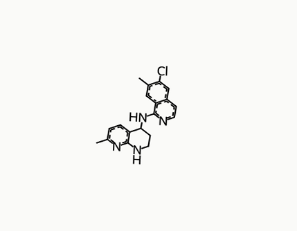 Cc1ccc2c(n1)NCCC2Nc1nccc2cc(Cl)c(C)cc12